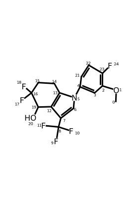 COc1cc(-n2cc(C(F)(F)F)c3c2CCC(F)(F)C3O)ccc1F